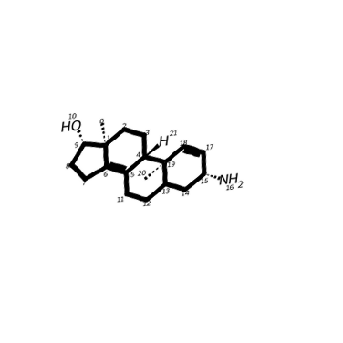 C[C@]12CC[C@H]3C(=C1CC[C@@H]2O)CCC1C[C@@H](N)C=C[C@@]13C